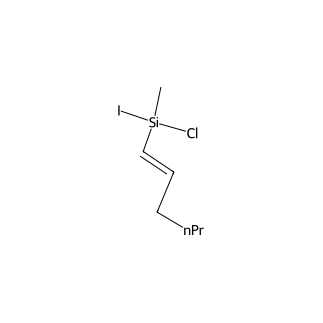 CCCCC=C[Si](C)(Cl)I